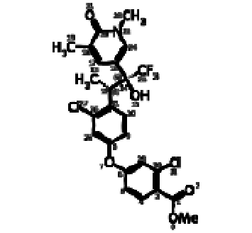 COC(=O)c1ccc(Oc2ccc([C@H](C)[C@](O)(c3cc(C)c(=O)n(C)c3)C(F)(F)F)c(Cl)c2)cc1Cl